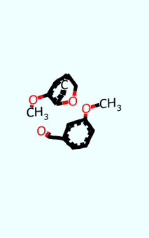 COc1cc2ccc1OC2.COc1cccc(C=O)c1